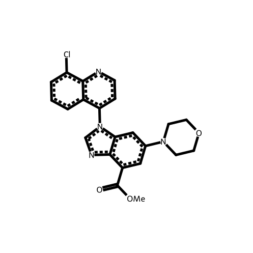 COC(=O)c1cc(N2CCOCC2)cc2c1ncn2-c1ccnc2c(Cl)cccc12